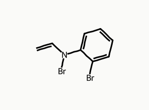 C=CN(Br)c1ccccc1Br